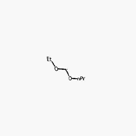 CCCO[CH]OCC